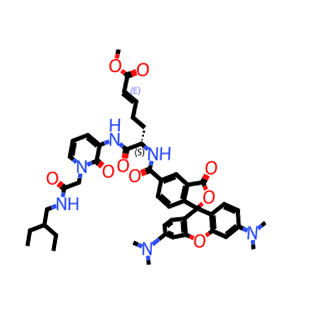 CCC(CC)CNC(=O)Cn1cccc(NC(=O)[C@H](CC/C=C/C(=O)OC)NC(=O)c2ccc3c(c2)C(=O)OC32c3ccc(N(C)C)cc3Oc3cc(N(C)C)ccc32)c1=O